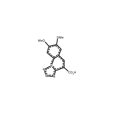 COc1cc2cc(C(=O)O)c3nnnn3c2cc1OC